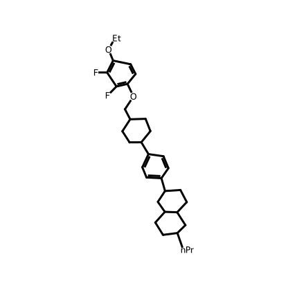 CCCC1CCC2CC(c3ccc(C4CCC(COc5ccc(OCC)c(F)c5F)CC4)cc3)CCC2C1